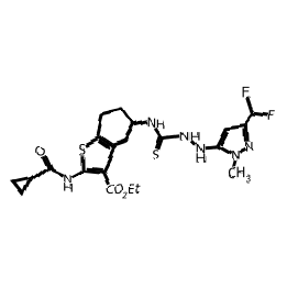 CCOC(=O)c1c(NC(=O)C2CC2)sc2c1CC(NC(=S)NNc1cc(C(F)F)nn1C)CC2